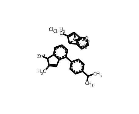 CC1=C2c3occc3C1[Si]2(C)C.CC1=Cc2c(-c3ccc(C(C)C)cc3)cccc2[CH]1[Zr+2].[Cl-].[Cl-]